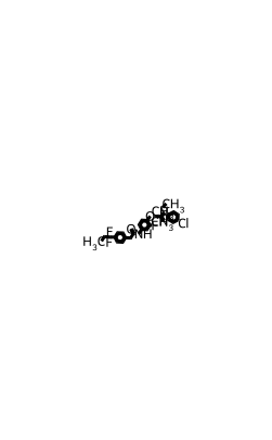 CCn1c(C(C)(C)Oc2ccc(NC(=O)Cc3ccc(C(F)(F)CC)cc3)cc2F)nc2cc(Cl)ccc21